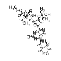 CCOP(=O)(CS(=O)(=O)NC[C@H]1O[C@@H](n2ncc3c(NCc4ccccc4Cl)nc(Cl)nc32)C[C@@H]1OC(C)(C)O)OCC